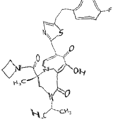 CC(C)N1C[C@](C)(C(=O)N2CCC2)n2cc(-c3ncc(Cc4ccc(F)cc4)s3)c(=O)c(O)c2C1=O